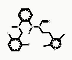 Cc1noc(C)c1CCN(C=O)[S+]([O-])c1ccccc1N(C)Cc1c(F)cccc1F